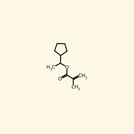 C=C(C)C(=O)OC(C)C1CCCC1